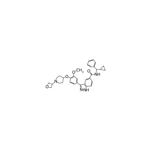 COc1cc(-c2n[nH]c3ccc(C(=O)NC(c4ccccc4)C4CC4)cc23)ccc1OC1CCN(C2COC2)CC1